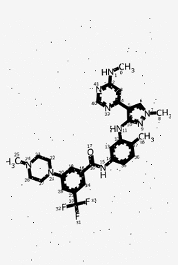 CNc1cc(-c2cn(C)nc2Nc2cc(NC(=O)c3cc(N4CCN(C)CC4)cc(C(F)(F)F)c3)ccc2C)ncn1